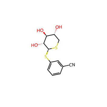 N#Cc1cccc(S[C@@H]2SC[C@@H](O)[C@H](O)[C@H]2O)c1